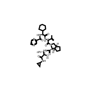 C=C(C)[C@H](NC(=O)[C@@H](NC(=O)c1cnccn1)C1CCCCC1)C(=O)N1C[C@@H]2CCC[C@@H]2[C@H]1C(=O)N[C@@H](CCC)C(O)C(=O)NC1CC1